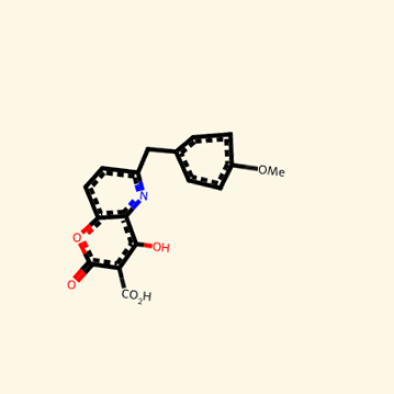 COc1ccc(Cc2ccc3oc(=O)c(C(=O)O)c(O)c3n2)cc1